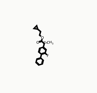 C[C@@H](C(=O)OCCC1CC1)c1ccc(-c2ccccc2)c(F)c1